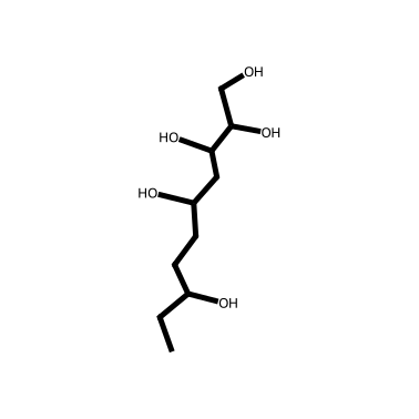 CCC(O)CCC(O)CC(O)C(O)CO